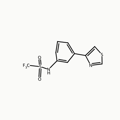 O=S(=O)(Nc1cccc(-c2cscn2)c1)C(F)(F)F